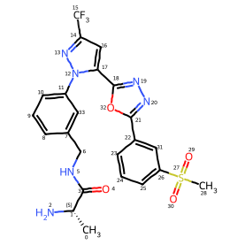 C[C@H](N)C(=O)NCc1cccc(-n2nc(C(F)(F)F)cc2-c2nnc(-c3cccc(S(C)(=O)=O)c3)o2)c1